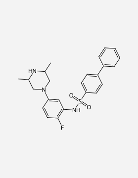 CC1CN(c2ccc(F)c(NS(=O)(=O)c3ccc(-c4ccccc4)cc3)c2)CC(C)N1